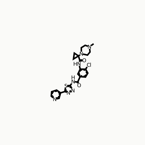 CN1CCN(C2(C(=O)Nc3cc(C(=O)Nc4nnc(-c5cccnc5)s4)ccc3Cl)CC2)CC1